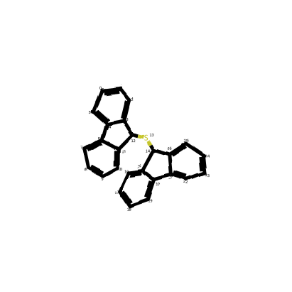 c1ccc2c(c1)-c1ccccc1C2SC1c2ccccc2-c2ccccc21